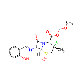 COCOC(=O)[C@@H]1N2C(=O)[C@@H](N=Cc3ccccc3O)[C@@H]2[S+]([O-])C[C@@]1(C)Cl